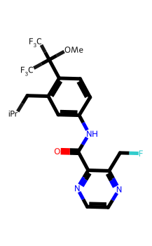 COC(c1ccc(NC(=O)c2nccnc2CF)cc1CC(C)C)(C(F)(F)F)C(F)(F)F